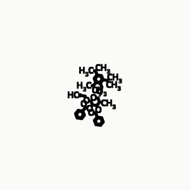 C#CCO[C@H]1O[C@H](COCc2c(C(C)C)cc(C(C)C)cc2C(C)C)[C@@H](C)[C@H](OC(=O)c2ccccc2)[C@@H]1OC(=O)c1ccccc1